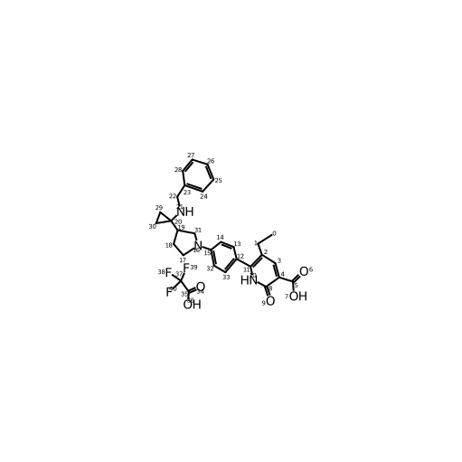 CCc1cc(C(=O)O)c(=O)[nH]c1-c1ccc(N2CCC(C3(NCc4ccccc4)CC3)C2)cc1.O=C(O)C(F)(F)F